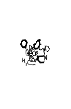 COc1ccnc(C(C)=O)c1OP(=O)(Oc1ccccc1)Oc1ccccc1